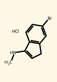 CNC1=CCc2cc(Br)ccc21.Cl